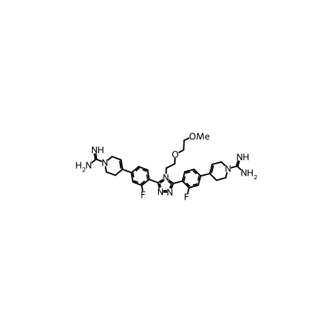 COCCOCCn1c(-c2ccc(C3=CCN(C(=N)N)CC3)cc2F)nnc1-c1ccc(C2=CCN(C(=N)N)CC2)cc1F